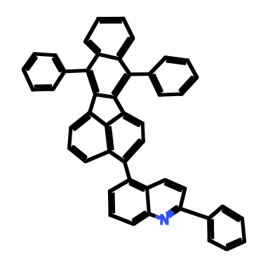 c1ccc(-c2ccc3c(-c4ccc5c6c(cccc46)-c4c-5c(-c5ccccc5)c5ccccc5c4-c4ccccc4)cccc3n2)cc1